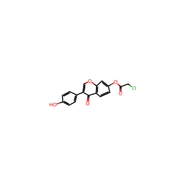 O=C(CCl)Oc1ccc2c(=O)c(-c3ccc(O)cc3)coc2c1